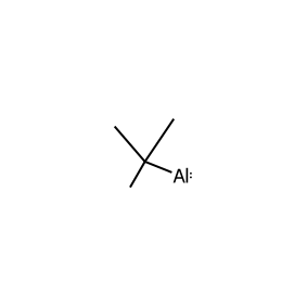 C[C](C)(C)[Al]